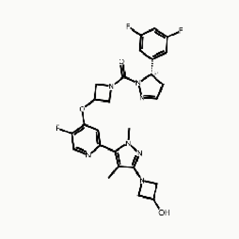 Cc1c(N2CC(O)C2)nn(C)c1-c1cc(OC2CN(C(=O)N3N=CC[C@H]3c3cc(F)cc(F)c3)C2)c(F)cn1